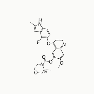 COc1cc2nccc(Oc3ccc4[nH]c(C)cc4c3F)c2cc1OC(=O)N1CCOC[C@H]1C